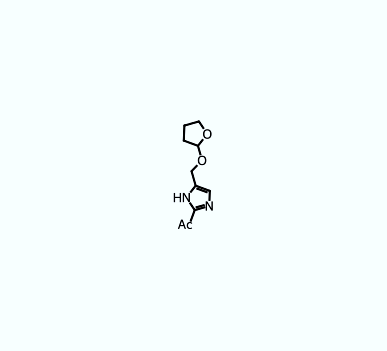 CC(=O)c1ncc(COC2CCCO2)[nH]1